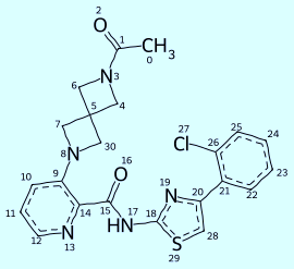 CC(=O)N1CC2(C1)CN(c1cccnc1C(=O)Nc1nc(-c3ccccc3Cl)cs1)C2